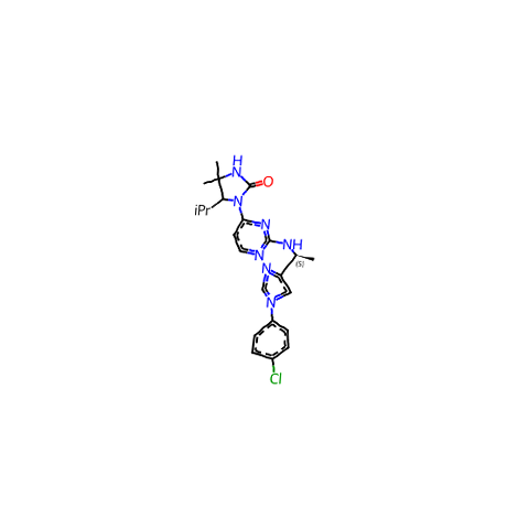 CC(C)C1N(c2ccnc(N[C@@H](C)c3cn(-c4ccc(Cl)cc4)cn3)n2)C(=O)NC1(C)C